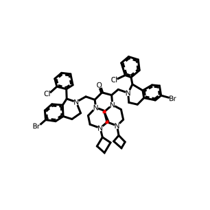 O=C(C(CN1CCc2cc(Br)ccc2C1c1ccccc1Cl)N1CCN(C2CCC2)CC1)C(CN1CCc2cc(Br)ccc2C1c1ccccc1Cl)N1CCN(C2CCC2)CC1